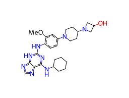 COc1cc(N2CCC(N3CC(O)C3)CC2)ccc1Nc1nc(NC2CCCCC2)c2ncnc-2[nH]1